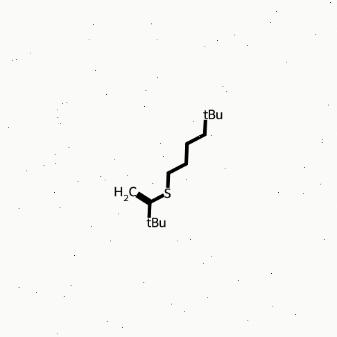 C=C(SCCCCC(C)(C)C)C(C)(C)C